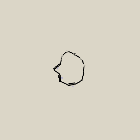 C1=C\CCSSSSS/C=C/C=C/1